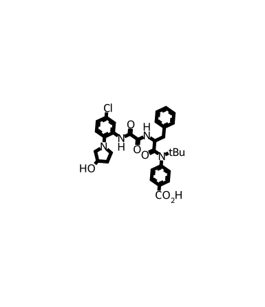 CC(C)(C)N(C(=O)C(Cc1ccccc1)NC(=O)C(=O)Nc1cc(Cl)ccc1N1CCC(O)C1)c1ccc(C(=O)O)cc1